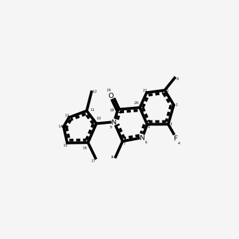 Cc1cc(F)c2nc(C)n(-c3c(C)cccc3C)c(=O)c2c1